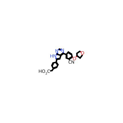 N#Cc1cc(-c2ncnc3[nH]c(-c4ccc(CC(=O)O)cc4)cc23)ccc1OC1CCOCC1